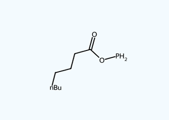 CCCCCCCC(=O)OP